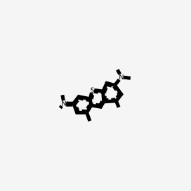 Cc1cc(=[N+](C)C)cc2sc3cc(N(C)C)cc(C)c3cc1-2